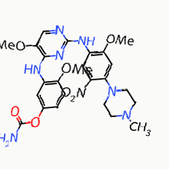 COc1cc(N2CCN(C)CC2)c([N+](=O)[O-])cc1Nc1ncc(OC)c(Nc2cc(OC(N)=O)ccc2OC)n1